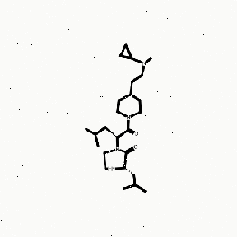 CC(C)C[C@@H]1NCCN([C@@H](CC(C)C)C(=O)N2CCC(CCN(C)C3CC3)CC2)C1=O